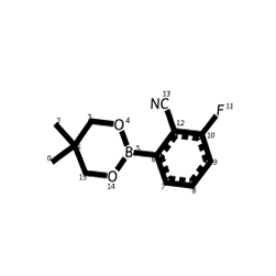 CC1(C)COB(c2cccc(F)c2C#N)OC1